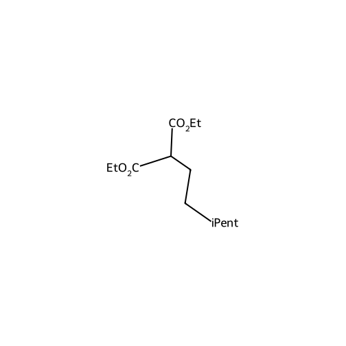 CCCC(C)CCC(C(=O)OCC)C(=O)OCC